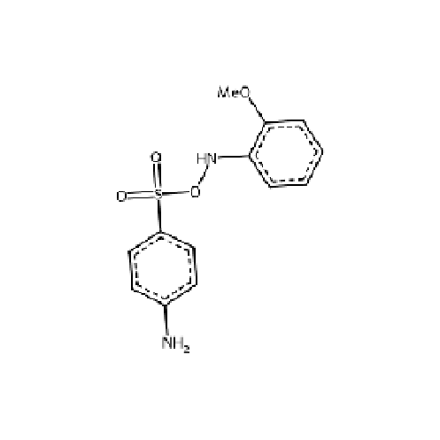 COc1ccccc1NOS(=O)(=O)c1ccc(N)cc1